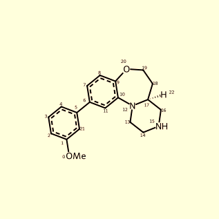 COc1cccc(-c2ccc3c(c2)N2CCNC[C@@H]2CCO3)c1